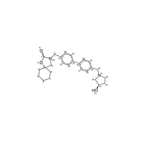 O=C1OC2(CCCCC2)CN1Cc1ccc(-c2ccc(CN3CC[C@@H](O)C3)cc2)cc1